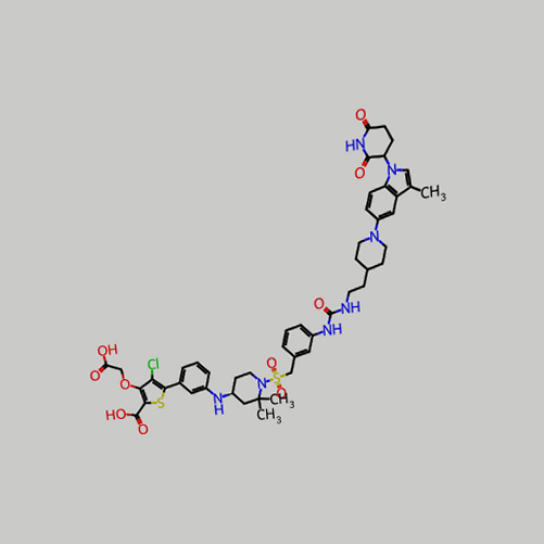 Cc1cn(C2CCC(=O)NC2=O)c2ccc(N3CCC(CCNC(=O)Nc4cccc(CS(=O)(=O)N5CC[C@H](Nc6cccc(-c7sc(C(=O)O)c(OCC(=O)O)c7Cl)c6)CC5(C)C)c4)CC3)cc12